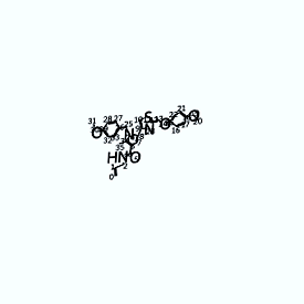 C=CCNC(=O)c1cc(-c2csc(COc3ccc(OC)cc3)n2)n(Cc2ccc(OC)cc2)c1C